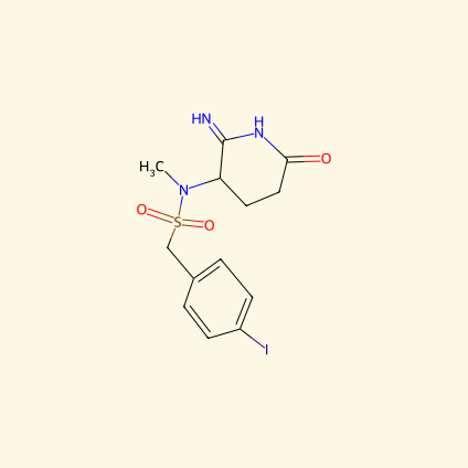 CN(C1CCC(=O)NC1=N)S(=O)(=O)Cc1ccc(I)cc1